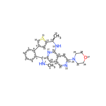 CNCc1ccccc1-c1csc([C@@H](C)Nc2nccc3cnc(N4CCOCC4)cc23)c1